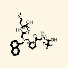 CSCC[C@H](NC(=O)CN(Cc1cccc2ccccc12)C[C@@H]1CCCN1C(=O)CN)C(=O)O.O=C(O)C(F)(F)F